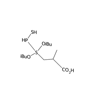 CC(C)COS(CC(C)C(=O)O)(OCC(C)C)PS